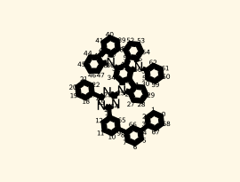 c1ccc(-c2cccc(-c3cccc(-c4nc(-c5ccccc5)nc(-n5c6ccccc6c6c5cc(-n5c7ccccc7c7ccccc75)c5c7ccccc7n(-c7ccccc7)c56)n4)c3)c2)cc1